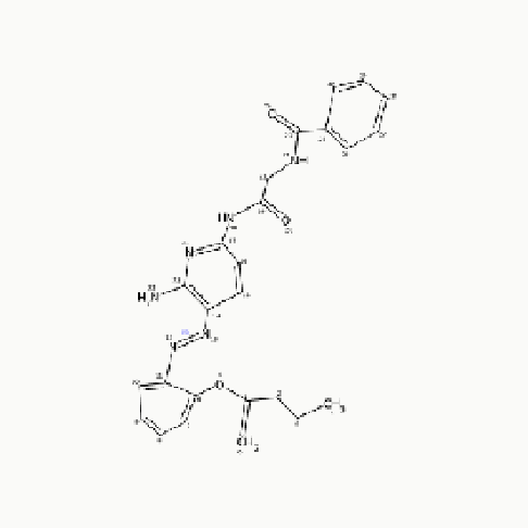 C=C(CCC)Oc1ccccc1/N=N/c1ccc(NC(=O)CNC(=O)c2ccccc2)nc1N